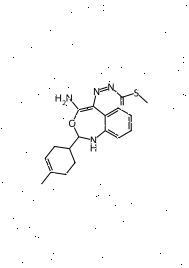 C=C(/N=N\C1=C(N)OC(C2CC=C(C)CC2)Nc2ccccc21)SC